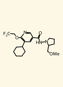 COCC1CCCN1NC(=O)c1cnc(OCC(F)(F)F)c(C2CCCCC2)c1